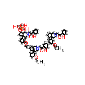 CCOc1cccc(C23CCCC2CN(CC(O)c2ccccc2)CC3)c1.CCOc1cccc(C23CCCC2CN(CC(O)c2ccccc2)CC3)c1.CCOc1cccc(C23CCCC2CN(CC(O)c2ccccc2)CC3)c1.O=P(O)(O)O